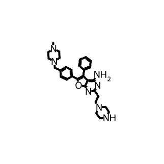 CN1CCN(Cc2ccc(-c3oc4nc(CCN5CCNCC5)nc(N)c4c3-c3ccccc3)cc2)CC1